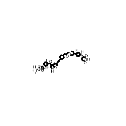 CCN(C)S(=O)(=O)Nc1ccc(F)c(C(=O)c2c[nH]c3ncc(C#CC4CCC(CC(=O)CN5CCC(c6ccc(NC7CCC(=O)NC7=O)cc6F)CC5)CC4)cc23)c1F